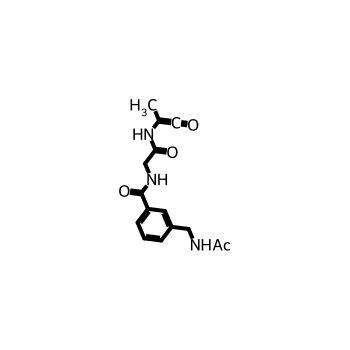 CC(=O)NCc1cccc(C(=O)NCC(=O)NC(C)=C=O)c1